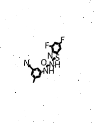 Cc1cc(C#N)cc(NC(=O)Nc2nc3c(F)cc(F)cc3s2)c1